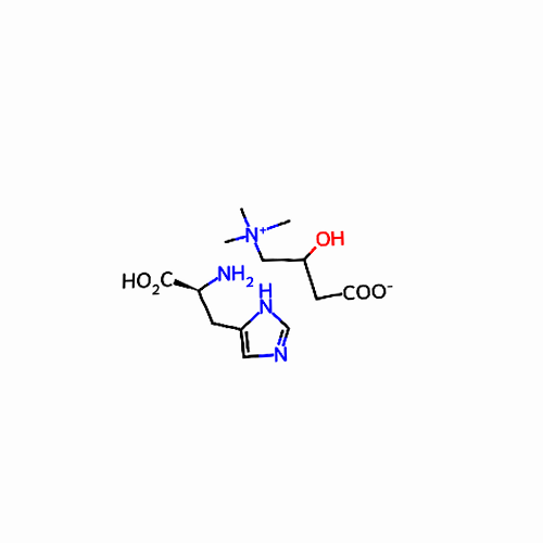 C[N+](C)(C)CC(O)CC(=O)[O-].N[C@@H](Cc1cnc[nH]1)C(=O)O